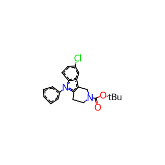 CC(C)(C)OC(=O)N1CCc2c(c3cc(Cl)ccc3n2-c2ccccc2)C1